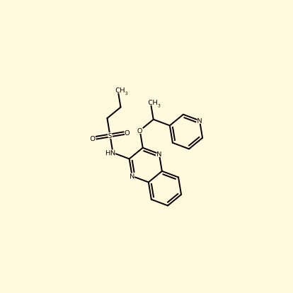 CCCS(=O)(=O)Nc1nc2ccccc2nc1OC(C)c1cccnc1